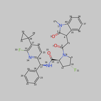 CN1C(=O)C(CC(=O)N2C[C@H](F)C[C@H]2C(=O)N[C@@H](c2ccccc2)c2ccc(C3(C)CC3)c(F)n2)c2ccccc21